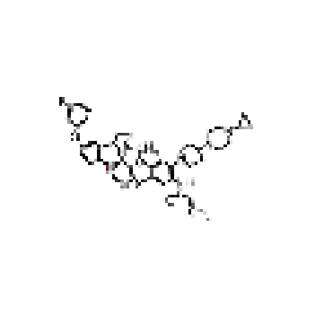 C=CC(=O)Nc1cc(Nc2cc(N3OCCC3c3cc(Oc4cccc(F)c4)ccc3F)ncn2)c(OC)cc1N1CCC(N2CCN(C3CC3)CC2)CC1